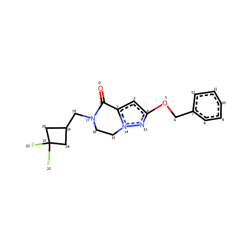 O=C1c2cc(OCc3ccccc3)nn2CCN1CC1CC(F)(F)C1